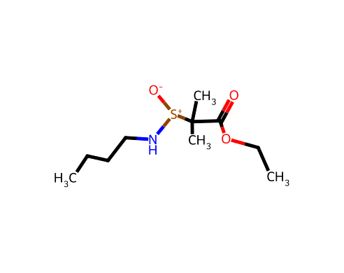 CCCCN[S+]([O-])C(C)(C)C(=O)OCC